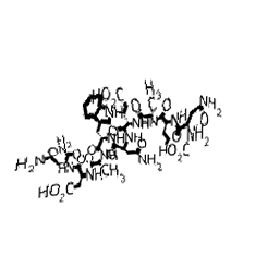 C[C@H](NC(=O)[C@H](Cc1c[nH]c2ccccc12)NC(=O)[C@H](CC(N)=O)NC(=O)[C@H](CCC(=O)O)NC(=O)[C@H](C)NC(=O)[C@H](CCC(=O)O)NC(=O)[C@@H](N)CC(N)=O)C(=O)N[C@@H](CC(=O)O)C(=O)N[C@@H](CC(N)=O)C(N)=O